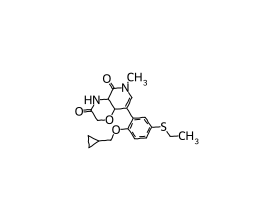 CCSc1ccc(OCC2CC2)c(C2=CN(C)C(=O)C3NC(=O)COC23)c1